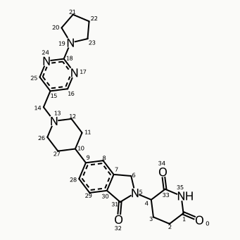 O=C1CCC(N2Cc3cc(C4CCN(Cc5cnc(N6CCCC6)nc5)CC4)ccc3C2=O)C(=O)N1